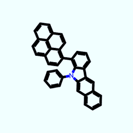 c1ccc(-n2c3cc4ccccc4cc3c3cccc(-c4ccc5ccc6cccc7ccc4c5c67)c32)cc1